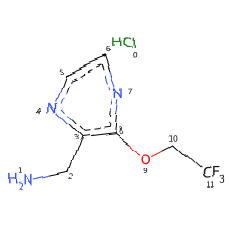 Cl.NCc1nccnc1OCC(F)(F)F